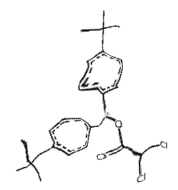 CC(C)(C)c1ccc([I+](OC(=O)C(Cl)Cl)c2ccc(C(C)(C)C)cc2)cc1